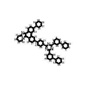 c1ccc(-c2cccc(-c3nc(-c4ccc(-c5ccc6c(c5)c5cc(-c7ccccc7)ccc5c5nc7ccccn7c65)cc4)nc(-c4cccc(-c5ccccc5)c4)n3)c2)cc1